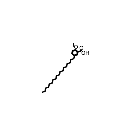 CCCCCCCCCCCCCCCCCCc1ccc(OI)c(C(=O)O)c1